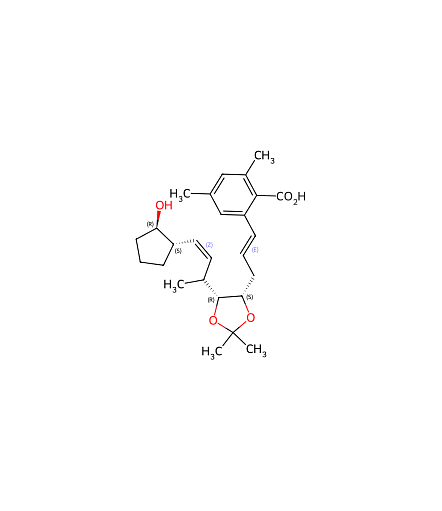 Cc1cc(C)c(C(=O)O)c(/C=C/C[C@@H]2OC(C)(C)O[C@@H]2C(C)/C=C\[C@@H]2CCC[C@H]2O)c1